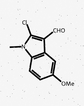 COc1ccc2c(c1)c(C=O)c(Cl)n2C